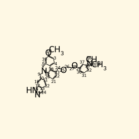 COc1cccc(CN(Cc2ccc3cn[nH]c3c2)c2cccc(COCCOc3cccc(N(C)C)c3)c2)c1